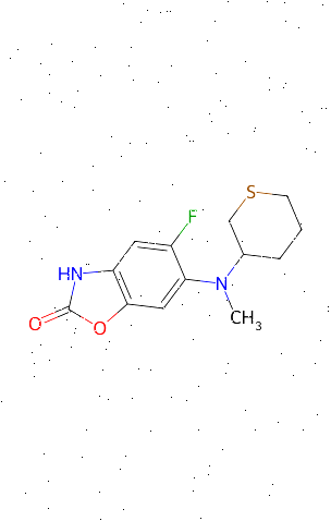 CN(c1cc2oc(=O)[nH]c2cc1F)C1CCCSC1